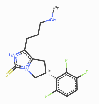 CC(C)NCCCc1[nH]c(=S)n2c1C[C@H](c1c(F)ccc(F)c1F)C2